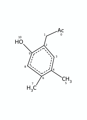 CC(=O)Cc1cc(C)c(C)cc1O